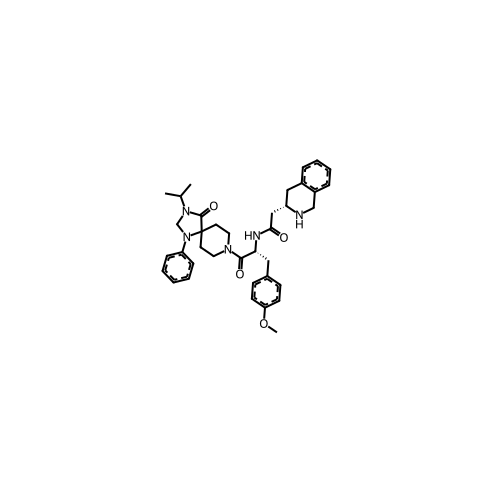 COc1ccc(C[C@@H](NC(=O)C[C@@H]2Cc3ccccc3CN2)C(=O)N2CCC3(CC2)C(=O)N(C(C)C)CN3c2ccccc2)cc1